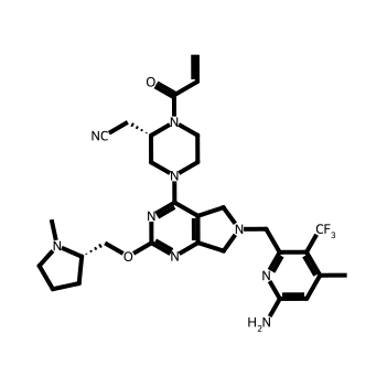 C=CC(=O)N1CCN(c2nc(OC[C@@H]3CCCN3C)nc3c2CN(Cc2nc(N)cc(C)c2C(F)(F)F)C3)C[C@@H]1CC#N